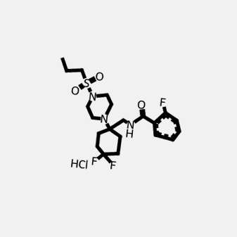 CCCS(=O)(=O)N1CCN(C2(CNC(=O)c3ccccc3F)CCC(F)(F)CC2)CC1.Cl